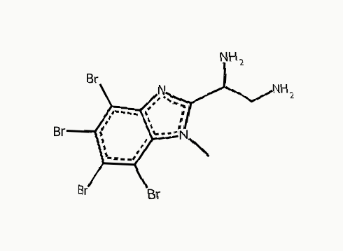 Cn1c(C(N)CN)nc2c(Br)c(Br)c(Br)c(Br)c21